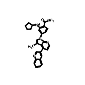 Cc1cn(-c2ccc(C(N)=O)c(NC3CCCC3)c2)c2nccc(-c3cnc4ccccc4c3)c12